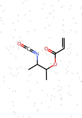 C=CC(=O)OC(C)C(C)N=C=O